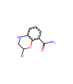 CCC1CNc2cccc(C(N)=O)c2O1